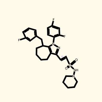 O=S(=O)(/C=C/c1nn(-c2ccc(F)cc2F)c2c1CCCCC2Cc1cccc(F)c1)NN1CCCCC1